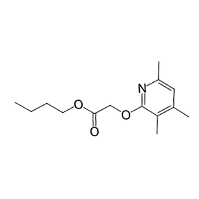 CCCCOC(=O)COc1nc(C)cc(C)c1C